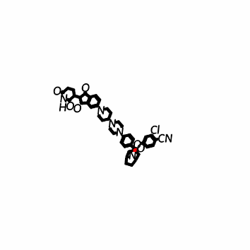 N#Cc1ccc(OC2CC3CCC(C2)N3C(=O)c2ccc(N3CCN(C4CCN(c5ccc6c(c5)C(=O)C(C5CCC(=O)NC5=O)C6=O)CC4)CC3)cc2)cc1Cl